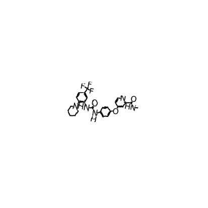 CNC(=O)c1cc(Oc2ccc(NC(=O)Nc3cc(C(F)(F)F)ccc3N3CCCCC3)cc2)ccn1